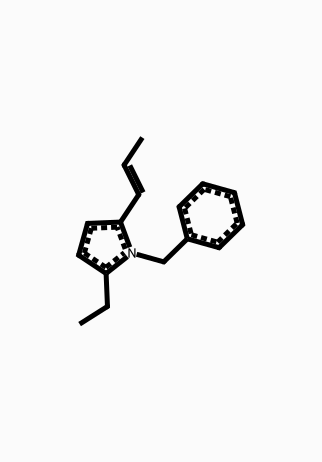 C/C=C/c1ccc(CC)n1Cc1ccccc1